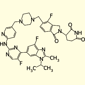 Cc1nc2c(F)cc(-c3nc(Nc4ccc(CN5CCN(Cc6ccc7c(c6F)CN(C6CCC(=O)NC6=O)C7=O)CC5)cn4)ncc3F)cc2n1C(C)C